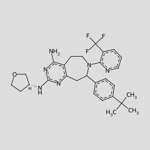 CC(C)(C)c1ccc(C2Cc3nc(N[C@@H]4CCOC4)nc(N)c3CCN2c2ncccc2C(F)(F)F)cc1